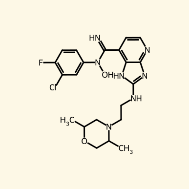 CC1CN(CCNc2nc3nccc(C(=N)N(O)c4ccc(F)c(Cl)c4)c3[nH]2)C(C)CO1